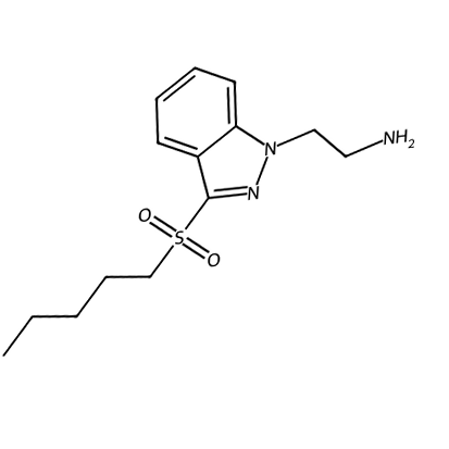 CCCCCS(=O)(=O)c1nn(CCN)c2ccccc12